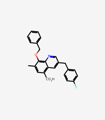 Cc1cc(C(=O)O)c2cc(Cc3ccc(F)cc3)cnc2c1OCc1ccccc1